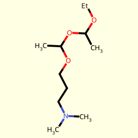 CCOC(C)OC(C)OCCCN(C)C